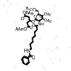 COC(=O)CC(CC(=O)OC)O[C@H]1O[C@H](COC(C)=O)[C@@H](OC(C)=O)[C@H](OC(C)=O)[C@H]1NC(=O)CCCCCCCNC(=O)c1ccccc1